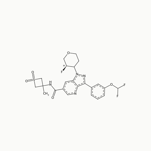 CC1(NC(=O)c2cnc3c(-c4cccc(OC(F)F)c4)nn(C4CCOC[C@@H]4F)c3c2)CS(=O)(=O)C1